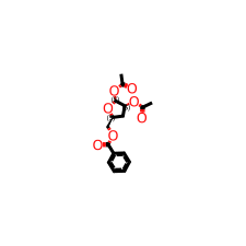 CC(=O)O[C@@H]1O[C@H](COC(=O)c2ccccc2)C[C@@H]1OC(C)=O